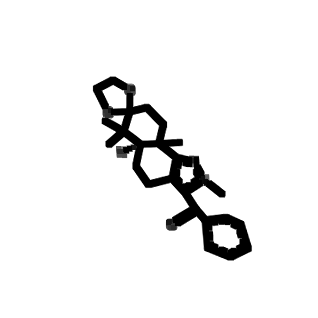 Cn1nc2c(c1C(=O)c1ccccc1)CC[C@@H]1C2(C)CCC2(OCCO2)C1(C)C